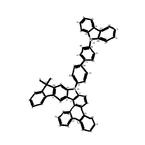 CC1(C)c2ccccc2-c2cc3c4c5c(ccc4n(-c4ccc(-c6ccc(-n7c8ccccc8c8ccccc87)cc6)cc4)c3cc21)C1CC=CC=C1c1ccccc1-5